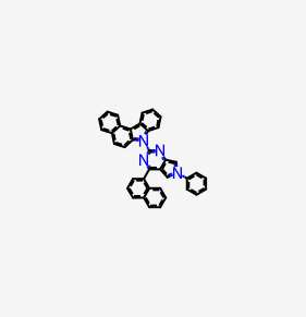 c1ccc(-n2cc3nc(-n4c5ccccc5c5c6ccccc6ccc54)nc(-c4cccc5ccccc45)c3c2)cc1